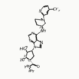 CC(C)NC(=O)[C@H]1CC(n2cnc3c(N[C@H]4CCN(c5cc(C(F)(F)F)ccn5)C4)ncnc32)C(O)[C@@H]1O